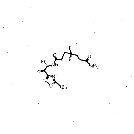 CC[C@H](NC(=O)[CH]CC(F)(F)CCC(N)=O)C(=O)c1noc(C(C)(C)C)n1